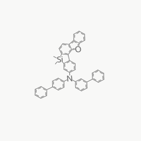 C[Si]1(C)c2cc(N(c3ccc(-c4ccccc4)cc3)c3cccc(-c4ccccc4)c3)ccc2-c2c1ccc1c2oc2ccccc21